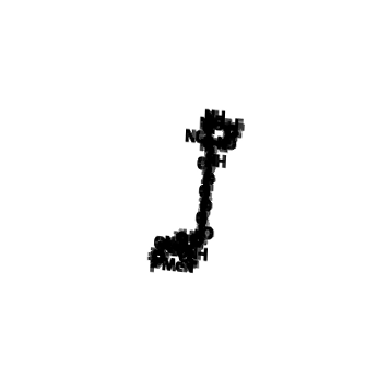 CN[C@@H](C)C(=O)N[C@H](C(=O)N1CCC[C@H]1C1=NC(C(=O)c2ccc(F)cc2)CS1)C1CCN(C(=O)CCOCCOCCOCCOCCC(=O)NCCn2nc(C#N)c3c2CN(C)C(=O)c2ccc(F)cc2[C@@H](C)Oc2nc-3cnc2N)CC1